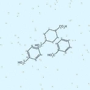 O=C(O)C1CCC(C(=O)O)CC1.O=C(O)c1ccccc1.O=C(O)c1ccccc1